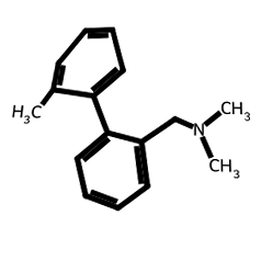 Cc1ccccc1-c1ccccc1CN(C)C